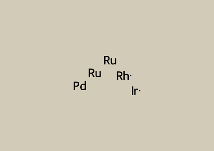 [Ir].[Pd].[Rh].[Ru].[Ru]